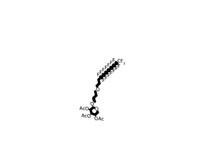 CC(=O)O[C@@H]1[C@@H](OC(C)=O)[C@H](OC=CCCOCCCC(F)(F)C(F)(F)C(F)(F)C(F)(F)C(F)(F)C(F)(F)C(F)(F)C(F)(F)F)OC[C@@H]1OC(C)=O